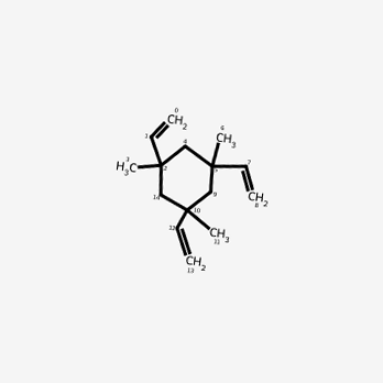 C=CC1(C)CC(C)(C=C)CC(C)(C=C)C1